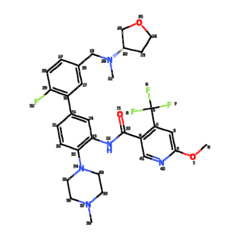 COc1cc(C(F)(F)F)c(C(=O)Nc2cc(-c3cc(CN(C)[C@H]4CCOC4)ccc3F)ccc2N2CCN(C)CC2)cn1